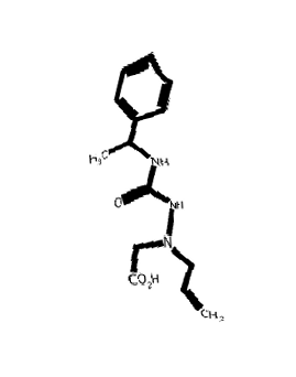 C=CCN(CC(=O)O)NC(=O)NC(C)c1ccccc1